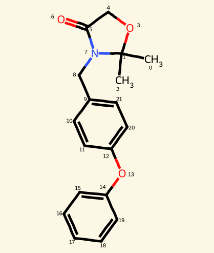 CC1(C)OCC(=O)N1Cc1ccc(Oc2ccccc2)cc1